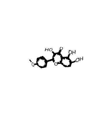 COc1ccc(-c2oc3ccc(O)c(O)c3c(=O)c2O)cc1